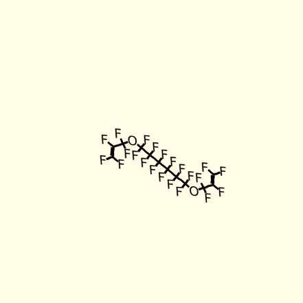 FC(F)=C(F)C(F)(F)OC(F)(F)C(F)(F)C(F)(F)C(F)(F)C(F)(F)C(F)(F)OC(F)(F)C(F)=C(F)F